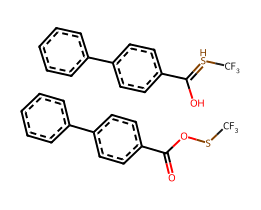 O=C(OSC(F)(F)F)c1ccc(-c2ccccc2)cc1.OC(=[SH]C(F)(F)F)c1ccc(-c2ccccc2)cc1